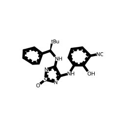 [C-]#[N+]c1cccc(Nc2n[s+]([O-])nc2N[C@@H](c2ccccc2)C(C)(C)C)c1O